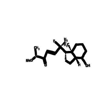 CON(C)C(=O)/C=C/[C@@](C)(F)[C@H]1CC[C@H]2C(O)CCC[C@@]21C